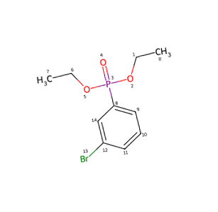 CCOP(=O)(OCC)c1cccc(Br)c1